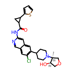 C[C@]1(N2CCC(c3cc4cc(NC(=O)C5CC5c5cccs5)ncc4cc3Cl)CC2)COC[C@H]1O